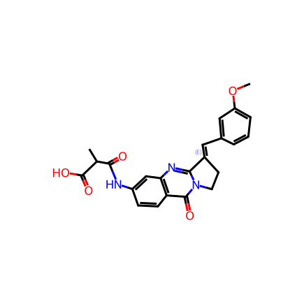 COc1cccc(/C=C2\CCn3c2nc2cc(NC(=O)C(C)C(=O)O)ccc2c3=O)c1